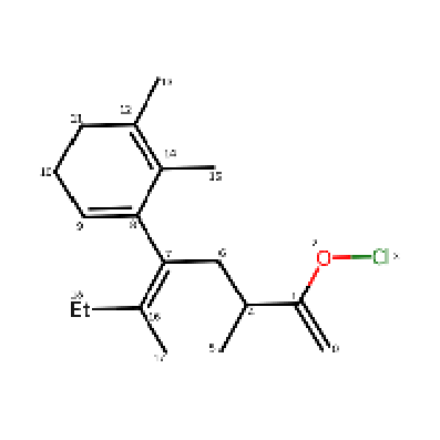 C=C(OCl)C(C)C/C(C1=CCCC(C)=C1C)=C(\C)CC